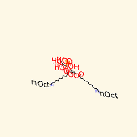 CCCCCCCC/C=C/CCCCCCCC(=O)OC[C@H](COC(C(O)CO)P(=O)(O)O)OC(=O)CCCCCCC/C=C/CCCCCCCC